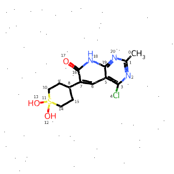 Cc1nc(Cl)c2cc(C3CCS(O)(O)CC3)c(=O)[nH]c2n1